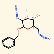 [N-]=[N+]=NC[C@H]1OC(OCc2ccccc2)C(N=[N+]=[N-])[C@H](F)[C@@H]1O